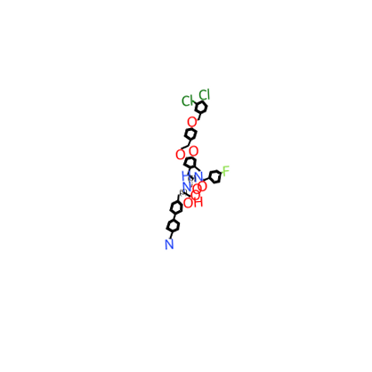 N#Cc1ccc(-c2ccc(C[C@H](NC(=O)[C@@H]3Cc4cc5c(cc4CN3C(=O)c3ccc(F)cc3)OC(c3ccc(OCc4ccc(Cl)c(Cl)c4)cc3)CO5)C(=O)O)cc2)cc1